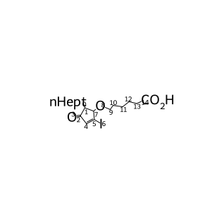 CCCCCCCC1C(=O)C=C(I)C1OCCCCCC(=O)O